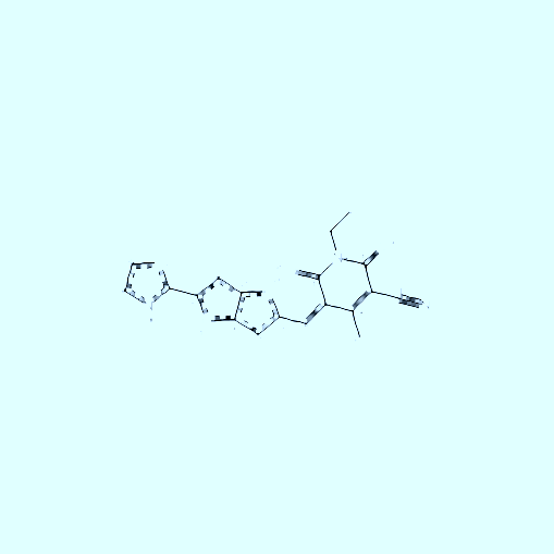 CCN1C(=O)C(C#N)=C(C)/C(=C/c2cc3oc(-c4nccs4)cc3o2)C1=O